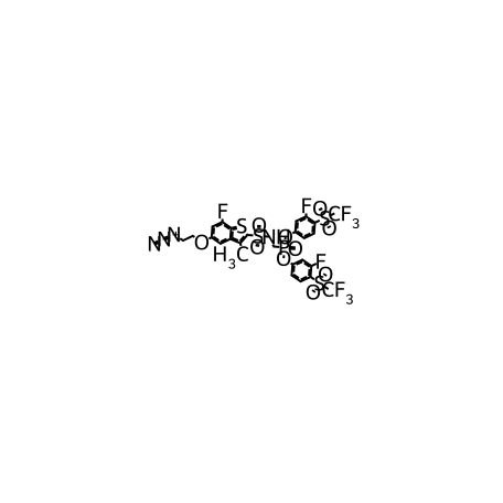 Cc1c(S(=O)(=O)NCP(=O)(Oc2ccc(S(=O)(=O)C(F)(F)F)c(F)c2)Oc2ccc(S(=O)(=O)C(F)(F)F)c(F)c2)sc2c(F)cc(OCCN=[N+]=[N-])cc12